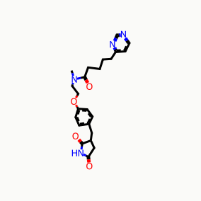 CN(CCOc1ccc(CC2CC(=O)NC2=O)cc1)C(=O)CCCCc1ccncn1